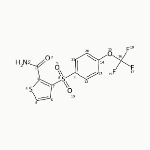 NC(=O)c1sccc1S(=O)(=O)c1ccc(OC(F)(F)F)cc1